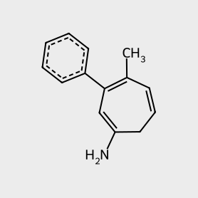 CC1=C(c2ccccc2)C=C(N)CC=C1